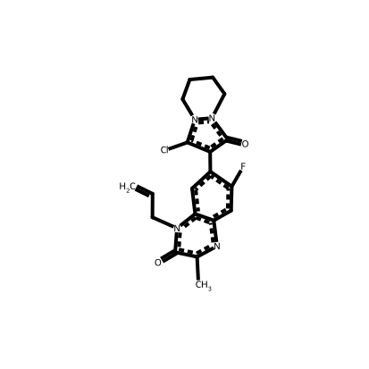 C=CCn1c(=O)c(C)nc2cc(F)c(-c3c(Cl)n4n(c3=O)CCCC4)cc21